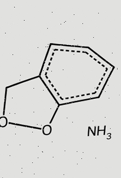 N.c1ccc2c(c1)COO2